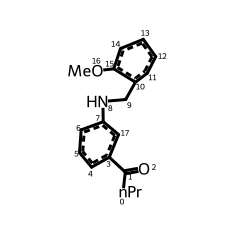 CCCC(=O)c1cccc(NCc2ccccc2OC)c1